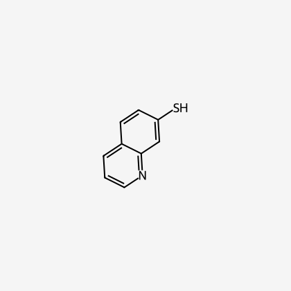 Sc1ccc2cccnc2c1